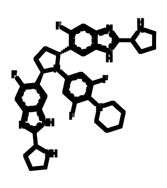 Fc1cc2nc(C3CCCN3)[nH]c2cc1[C@H]1CC[C@H](c2cc3[nH]c(C4CCCN4)nc3cc2F)N1c1cc(F)c(N2CCCCC2)c(F)c1